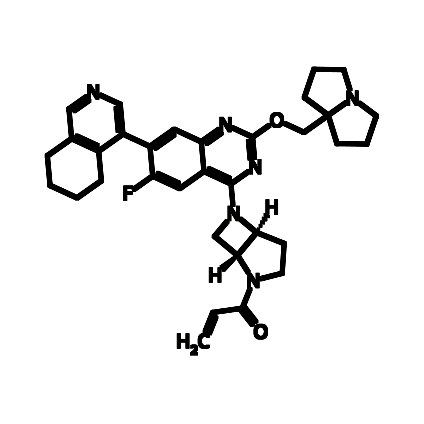 C=CC(=O)N1CC[C@H]2[C@H]1CN2c1nc(OCC23CCCN2CCC3)nc2cc(-c3cncc4c3CCCC4)c(F)cc12